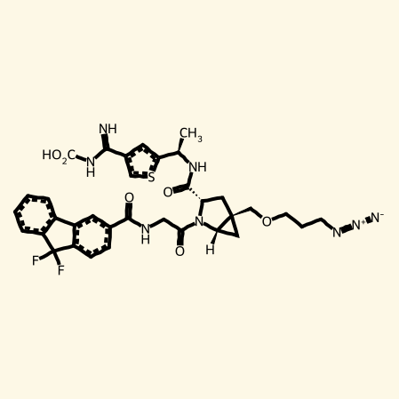 C[C@@H](NC(=O)[C@@H]1C[C@]2(COCCCN=[N+]=[N-])C[C@@H]2N1C(=O)CNC(=O)c1ccc2c(c1)-c1ccccc1C2(F)F)c1cc(C(=N)NC(=O)O)cs1